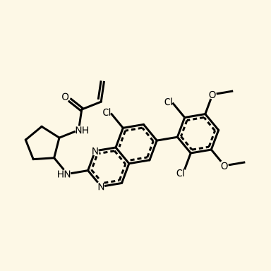 C=CC(=O)NC1CCCC1Nc1ncc2cc(-c3c(Cl)c(OC)cc(OC)c3Cl)cc(Cl)c2n1